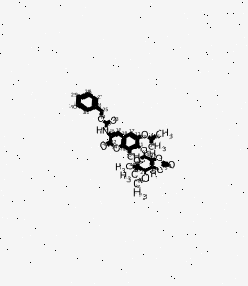 CO[C@@H]1[C@@H]2OC(=O)O[C@@H]2[C@H](Oc2c(OC(C)C)cc3cc(NC(=O)OCc4ccccc4)c(=O)oc3c2C)OC1(C)C